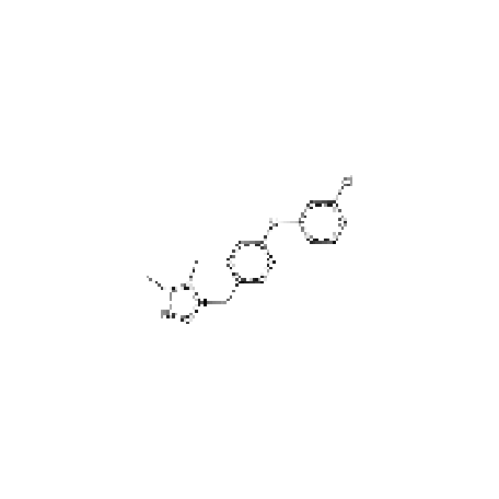 Cc1ncn(Cc2ccc(Oc3cccc(Cl)c3)cc2)c1C